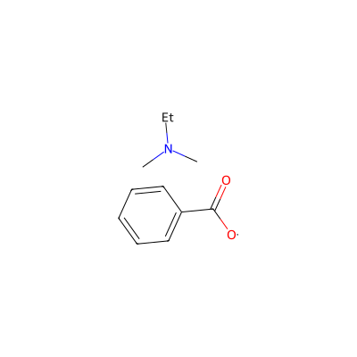 CCN(C)C.[O]C(=O)c1ccccc1